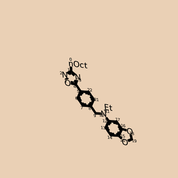 CCCCCCCCc1noc(-c2ccc(CN(CC)c3ccc4c(c3)OCO4)cc2)n1